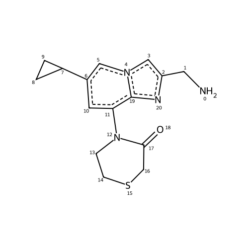 NCc1cn2cc(C3CC3)cc(N3CCSCC3=O)c2n1